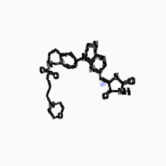 O=C1NC(=O)/C(=C/c2ccc3ncn(-c4ccc5c(c4)CCN5S(=O)(=O)CCCN4CCOCC4)c3n2)S1